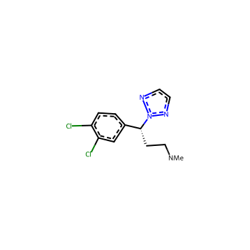 CNCC[C@H](c1ccc(Cl)c(Cl)c1)n1nccn1